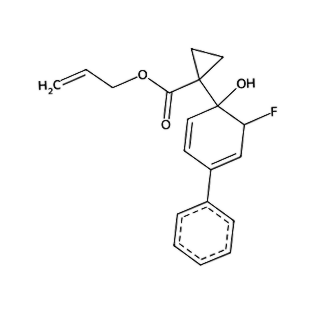 C=CCOC(=O)C1(C2(O)C=CC(c3ccccc3)=CC2F)CC1